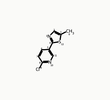 Cc1cnc(-c2ccc(Cl)nc2)s1